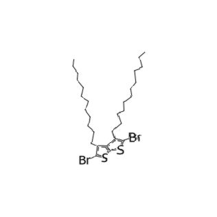 CCCCCCCCCCCCc1c(Br)sc2sc(Br)c(CCCCCCCCCCCC)c12